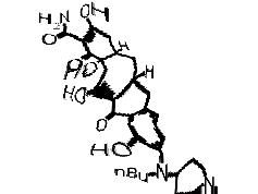 CCCCN(c1ccc2c(c1O)C(=O)C1=C(O)[C@]3(O)C(=O)C(C(N)=O)=C(O)C[C@@H]3C[C@@H]1C2)C1CCN(C)CC1